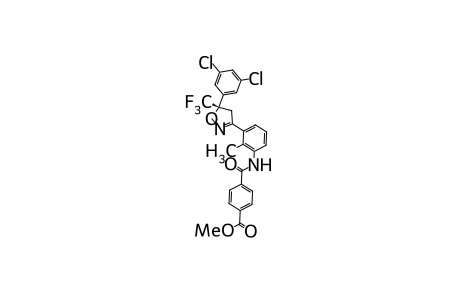 COC(=O)c1ccc(C(=O)Nc2cccc(C3=NO[C@@](c4cc(Cl)cc(Cl)c4)(C(F)(F)F)C3)c2C)cc1